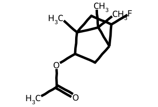 CC(=O)OC1CC2C(F)CC1(C)C2(C)C